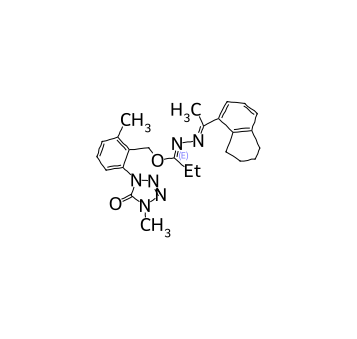 CC/C(=N\N=C(C)c1cccc2c1CCCC2)OCc1c(C)cccc1-n1nnn(C)c1=O